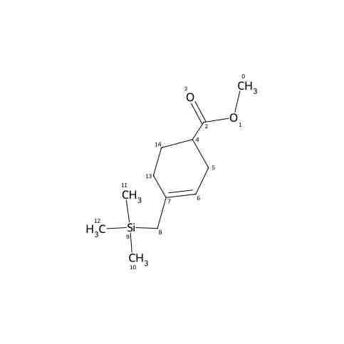 COC(=O)C1CC=C(C[Si](C)(C)C)CC1